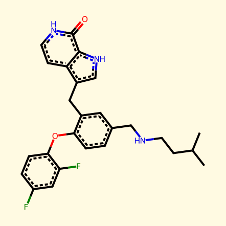 CC(C)CCNCc1ccc(Oc2ccc(F)cc2F)c(Cc2c[nH]c3c(=O)[nH]ccc23)c1